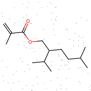 C=C(C)C(=O)OCC(CCC(C)C)C(C)C